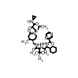 CCC[C@@H](C(=O)C(=O)NC1CC1)N1CC[C@@H](CNC(=O)[C@@H](NC(=O)[C@@H](NC(=O)c2cnccn2)C2CCCCC2)C(C)(C)C)[C@H](C)CC1=O